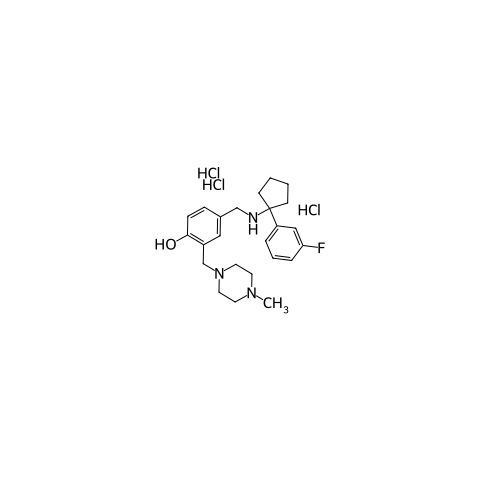 CN1CCN(Cc2cc(CNC3(c4cccc(F)c4)CCCC3)ccc2O)CC1.Cl.Cl.Cl